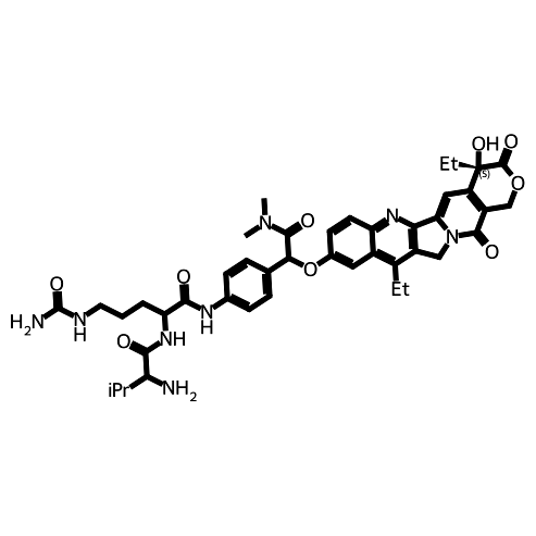 CCc1c2c(nc3ccc(OC(C(=O)N(C)C)c4ccc(NC(=O)C(CCCNC(N)=O)NC(=O)C(N)C(C)C)cc4)cc13)-c1cc3c(c(=O)n1C2)COC(=O)[C@]3(O)CC